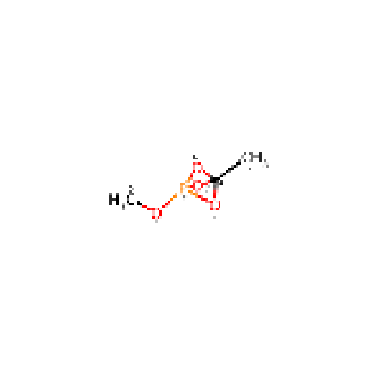 CO[PH]12OC(C)(O1)O2